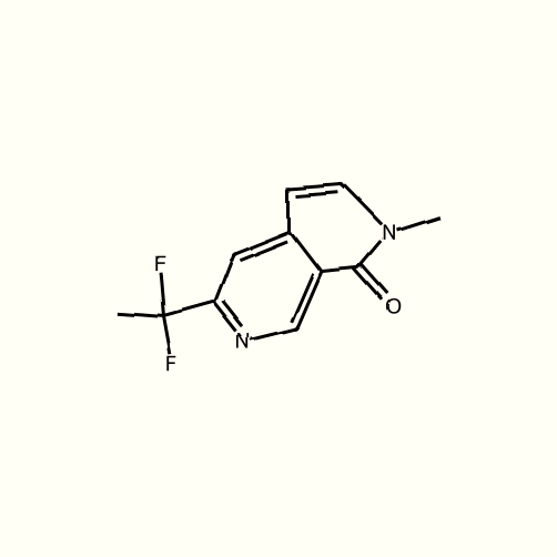 Cn1ccc2cc(C(C)(F)F)ncc2c1=O